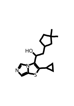 CC1(C)CCC(CC(O)c2c(C3CC3)sc3cncn23)C1